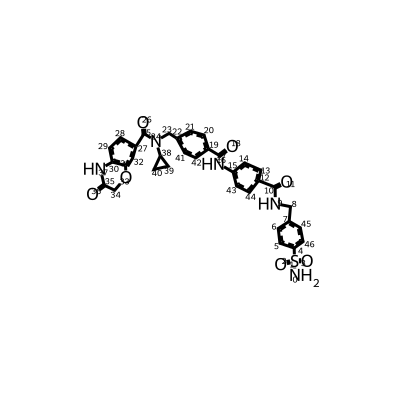 NS(=O)(=O)c1ccc(CNC(=O)c2ccc(NC(=O)c3ccc(CN(C(=O)c4ccc5c(c4)OCC(=O)N5)C4CC4)cc3)cc2)cc1